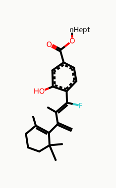 C=C(C1=C(C)CCCC1(C)C)/C(C)=C(\F)c1ccc(C(=O)OCCCCCCC)cc1O